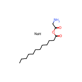 CCCCCCCCCCCC(=O)OC(=O)CN.[NaH]